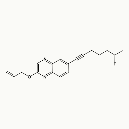 C=CCOc1cnc2cc(C#CCCCC(C)F)ccc2n1